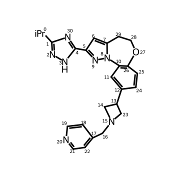 CC(C)c1n[nH]c(-c2cc3n(n2)-c2cc(C4CN(Cc5ccncc5)C4)ccc2OCC3)n1